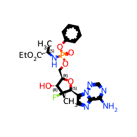 CCOC(=O)[C@H](C)NP(=O)(OC[C@H]1O[C@@H](c2cnc3c(N)ncnn23)[C@](C)(F)[C@@H]1O)Oc1ccccc1